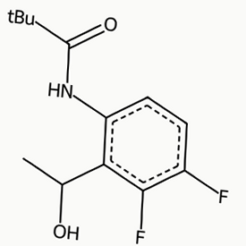 CC(O)c1c(NC(=O)C(C)(C)C)ccc(F)c1F